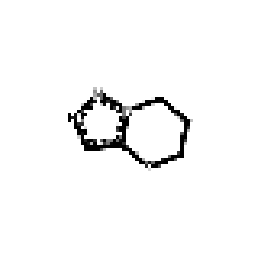 [CH]1CSc2cnnn2C1